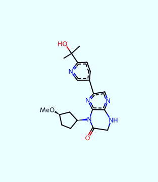 CO[C@@H]1CC[C@H](N2C(=O)CNc3ncc(-c4ccc(C(C)(C)O)nc4)nc32)C1